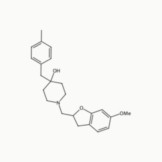 COc1ccc2c(c1)OC(CN1CCC(O)(Cc3ccc(C)cc3)CC1)C2